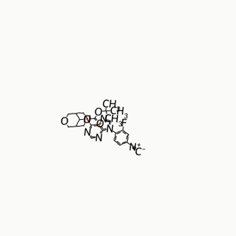 [C-]#[N+]c1ccc(-n2cnc3c(OC4C5COCC4CN(C(=O)OC(C)(C)C)C5)ncnc32)c(F)c1